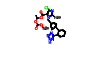 CCCCOC(=O)OC(C)OC(=O)c1c(Cl)nc(CCCC)n1Cc1ccc(-c2ccccc2-c2nn[nH]n2)cc1